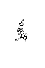 C[C@H]1C2c3cc(F)cc(F)c3NC(=O)[C@@H](NC(=O)c3nnc(Cc4cccc(C#N)c4)[nH]3)C21